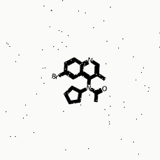 CC(=O)N(c1c(C)cnc2ccc(Br)cc12)C1CCCC1